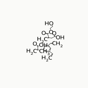 C=C(C)C(=O)O.C=C(CC(=O)O)C(=O)OCCO.C=Cc1cccc(C=C)c1